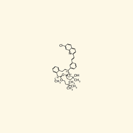 CC[C@@H](C(=O)OCC[Si](C)(C)C)c1ccccc1CC[C@H](SCCCC(C)(C)O)c1cccc(C=Cc2ccc3ccc(Cl)cc3n2)c1